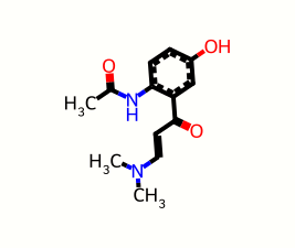 CC(=O)Nc1ccc(O)cc1C(=O)C=CN(C)C